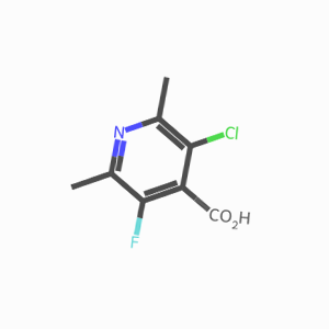 Cc1nc(C)c(Cl)c(C(=O)O)c1F